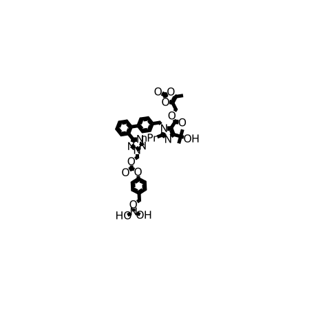 CCCc1nc(C(C)(C)O)c(C(=O)OCc2oc(=O)oc2C)n1Cc1ccc(-c2ccccc2-c2nnn(COC(=O)Oc3ccc(CON(O)O)cc3)n2)cc1